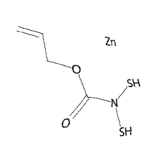 C=CCOC(=O)N(S)S.[Zn]